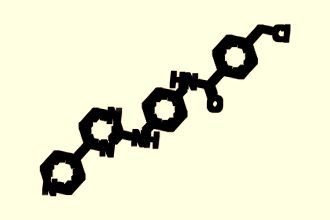 O=C(Nc1ccc(Nc2nccc(-c3ccncc3)n2)cc1)c1ccc(CCl)cc1